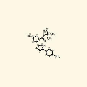 Bc1ccc(-c2cnc([C@@H]3C[C@H](O)CN3C(=O)OC(C)(C)C)[nH]2)cc1